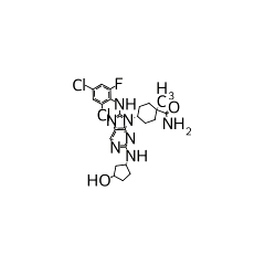 C[C@]1(C(N)=O)CC[C@H](n2c(Nc3c(F)cc(Cl)cc3Cl)nc3cnc(N[C@@H]4CC[C@@H](O)C4)nc32)CC1